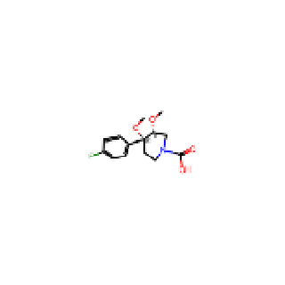 CO[C@@H]1CN(C(=O)O)CC[C@@]1(OC)c1ccc(F)cc1